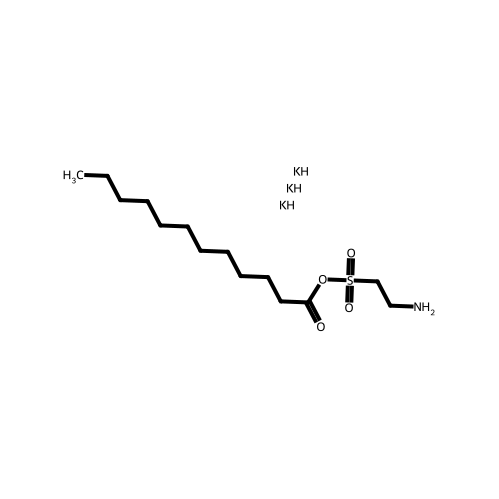 CCCCCCCCCCCC(=O)OS(=O)(=O)CCN.[KH].[KH].[KH]